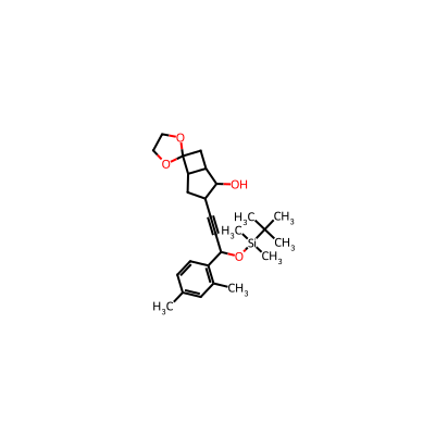 Cc1ccc(C(C#CC2CC3C(CC34OCCO4)C2O)O[Si](C)(C)C(C)(C)C)c(C)c1